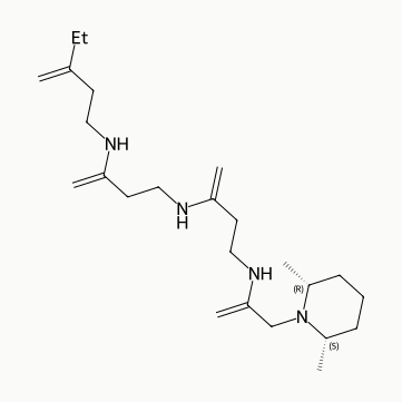 C=C(CC)CCNC(=C)CCNC(=C)CCNC(=C)CN1[C@H](C)CCC[C@@H]1C